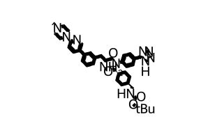 CN1CCN(c2ccc(-c3cccc(C[C@H](N)C(=O)N(c4ccc(-c5nnn[nH]5)cc4)C(=O)[C@H]4CC[C@H](CNC(=O)OC(C)(C)C)CC4)c3)cn2)CC1